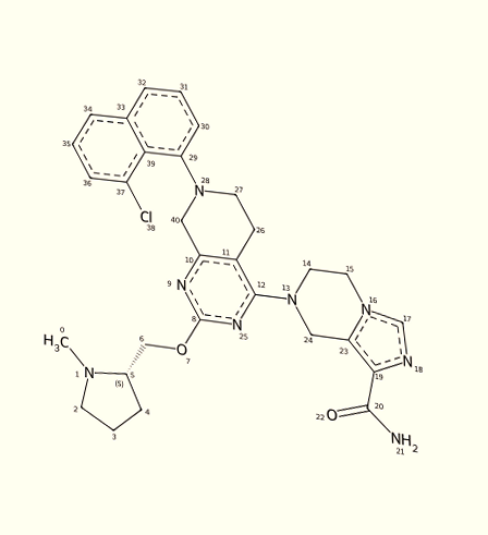 CN1CCC[C@H]1COc1nc2c(c(N3CCn4cnc(C(N)=O)c4C3)n1)CCN(c1cccc3cccc(Cl)c13)C2